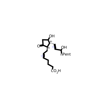 CCCCCC(O)/C=C/[C@H]1C(O)CC(=O)[C@@H]1C/C=C\CCCC(=O)O